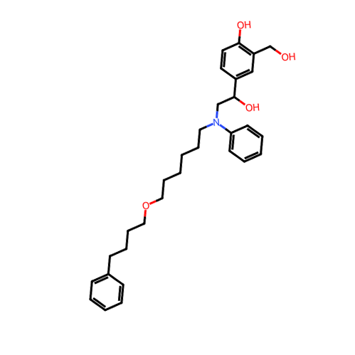 OCc1cc(C(O)CN(CCCCCCOCCCCc2ccccc2)c2ccccc2)ccc1O